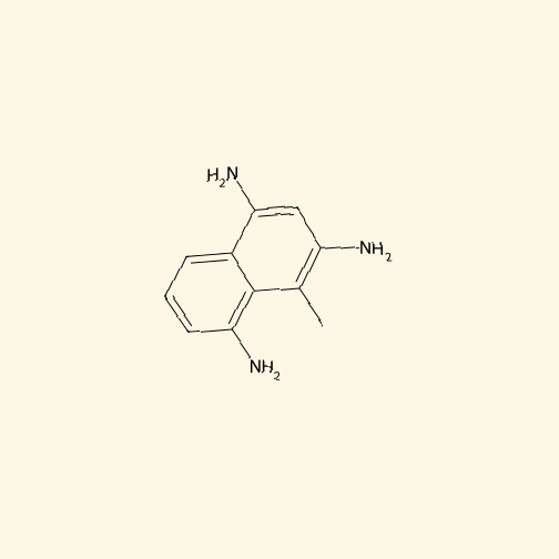 Cc1c(N)cc(N)c2cccc(N)c12